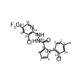 Cc1ccc(-n2cccc2C(=O)NNc2ncc(C(F)(F)F)cc2Cl)c(Cl)c1